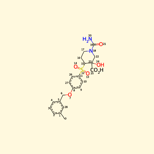 Cc1cccc(COc2ccc(S(=O)(=O)C3CCN(C(N)=O)CC3(O)C(=O)O)cc2)c1